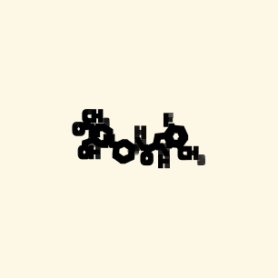 CC(=O)N1CCN(C2CCC[C@@H](NC(=O)C3Cc4c(F)ccc(C)c4N3)C2)C[C@H]1CO